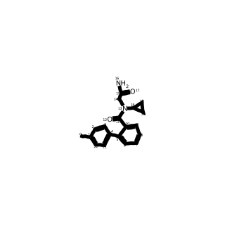 Cc1ccc(-c2ccccc2C(=O)N(CC(N)=O)C2CC2)cc1